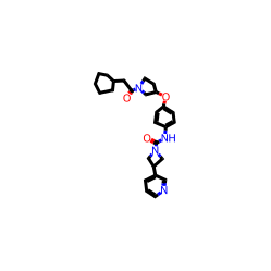 O=C(CC1CCCCC1)N1CCC(Oc2ccc(NC(=O)N3CC(c4cccnc4)C3)cc2)C1